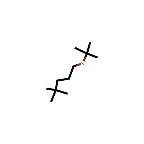 CC(C)(C)CCCSC(C)(C)C